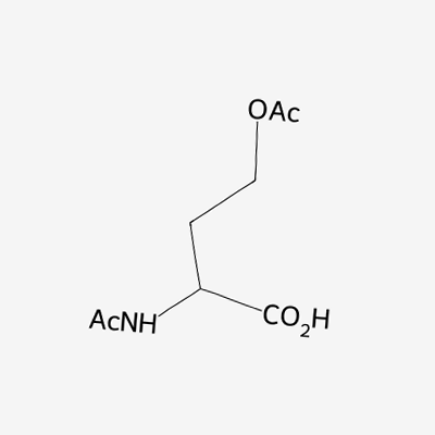 CC(=O)NC(CCOC(C)=O)C(=O)O